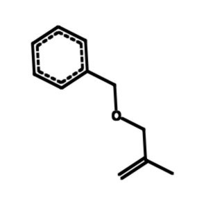 C=C(C)COCc1ccccc1